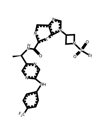 CCS(=O)(=O)N1CC(n2cnc3cnc(C(=O)N[C@H](C)c4cnc(Nc5ccc(C(F)(F)F)cc5)cn4)cc32)C1